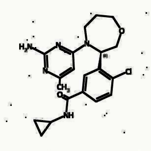 Cc1cc(N2CCCOC[C@H]2c2cc(C(=O)NC3CC3)ccc2Cl)nc(N)n1